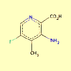 Cc1c(F)cnc(C(=O)O)c1N